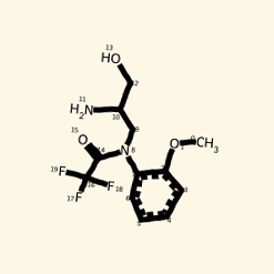 COc1ccccc1N(CC(N)CO)C(=O)C(F)(F)F